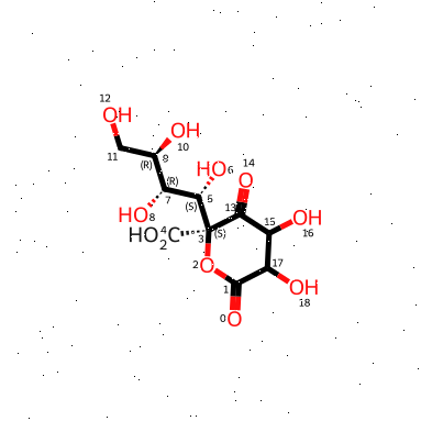 O=C1O[C@@](C(=O)O)([C@@H](O)[C@H](O)[C@H](O)CO)C(=O)C(O)C1O